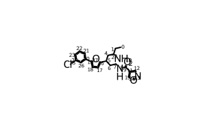 CCC(N)CC(CCNC(=O)c1cnoc1)c1ccc(-c2cccc(Cl)c2)o1